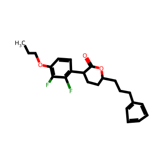 CCCOc1ccc(C2CCC(CCCc3ccccc3)OC2=O)c(F)c1F